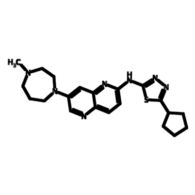 CN1CCCN(c2cnc3ccc(Nc4nnc(C5CCCC5)s4)nc3c2)CC1